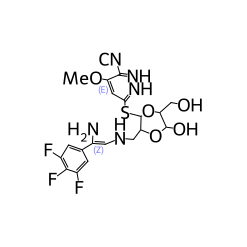 CO/C(=C/C(=N)SC1OC(CO)C(O)OC1CN/C=C(\N)c1cc(F)c(F)c(F)c1)C(=N)C#N